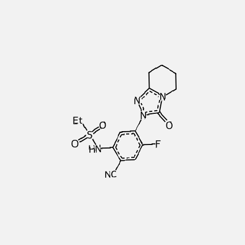 CCS(=O)(=O)Nc1cc(-n2nc3n(c2=O)CCCC3)c(F)cc1C#N